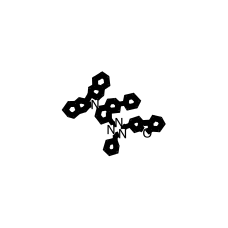 c1ccc(-c2ccc3c(-n4c5cc6ccccc6cc5c5cc6ccccc6cc54)ccc(-c4nc(-c5ccccc5)nc(-c5ccc6c(c5)oc5ccccc56)n4)c3c2)cc1